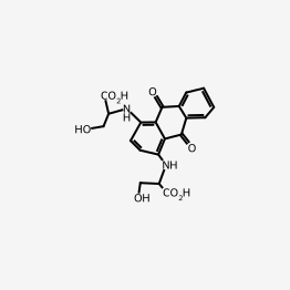 O=C1c2ccccc2C(=O)c2c(NC(CO)C(=O)O)ccc(NC(CO)C(=O)O)c21